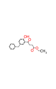 CCOC(=O)CCC(=O)c1cc(Cc2ccccc2)ccc1O